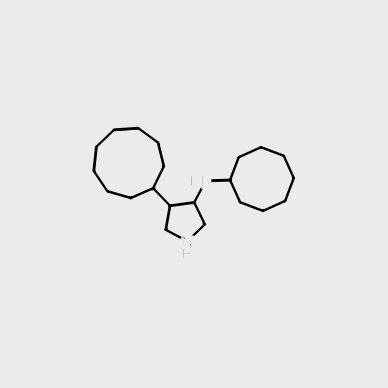 B(C1CCCCCCC1)C1CNCC1C1CCCCCCCC1